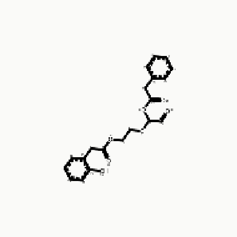 O=CC(OCCOC(=O)Cc1ccccc1O)OC(=O)Cc1ccccc1